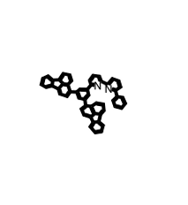 c1ccc(-c2cccc(-c3cccc(-c4cc(-c5ccc6c7c(cccc57)-c5ccccc5-6)cc(-c5ccc6c7c(cccc57)-c5ccccc5-6)c4)n3)n2)cc1